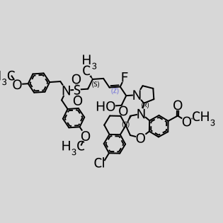 COC(=O)c1ccc2c(c1)N([C@@H]1CCCN1C(C(=O)O)/C(F)=C/C[C@H](C)CS(=O)(=O)N(Cc1ccc(OC)cc1)Cc1ccc(OC)cc1)C[C@@]1(CCCc3cc(Cl)ccc31)CO2